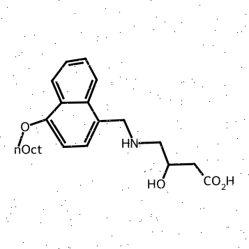 CCCCCCCCOc1ccc(CNCC(O)CC(=O)O)c2ccccc12